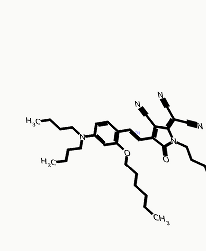 CCCCCCOc1cc(N(CCCC)CCCC)ccc1/C=C/C1=C(C#N)C(=C(C#N)C#N)N(CCCC)C1=O